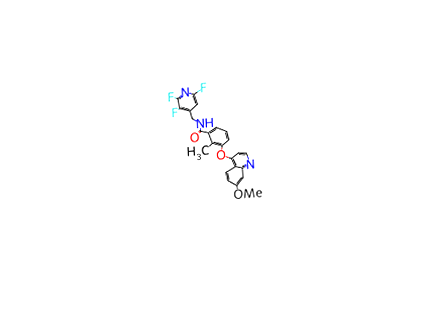 COc1ccc2c(Oc3cccc(C(=O)NCc4cc(F)nc(F)c4F)c3C)ccnc2c1